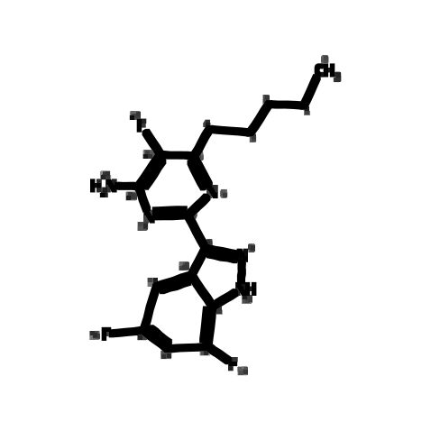 CCCCCc1nc(-c2n[nH]c3c(F)cc(F)cc23)nc(N)c1F